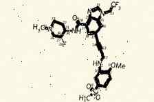 COc1ccc(S(C)(=O)=O)cc1NCC#Cc1cc(C(=O)N[C@@H]2CCN(C)C[C@H]2F)c2ncn(CC(F)(F)F)c2c1